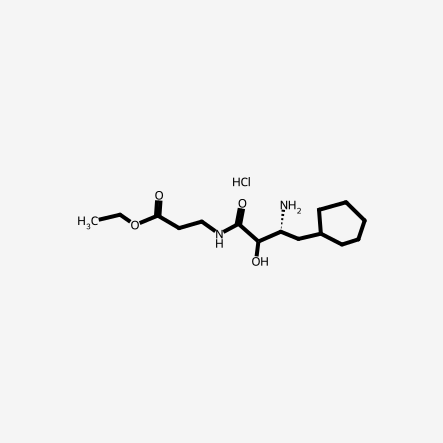 CCOC(=O)CCNC(=O)C(O)[C@H](N)CC1CCCCC1.Cl